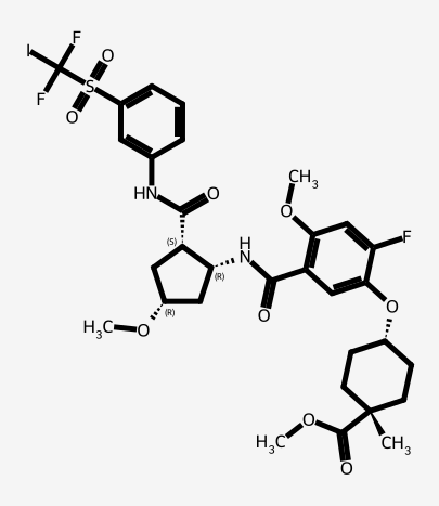 COc1cc(F)c(O[C@H]2CC[C@@](C)(C(=O)OC)CC2)cc1C(=O)N[C@@H]1C[C@H](OC)C[C@@H]1C(=O)Nc1cccc(S(=O)(=O)C(F)(F)I)c1